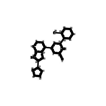 O=c1cc(-c2ccnc3[nH]c(-c4cnco4)cc23)cc(-c2ccccc2Cl)[nH]1